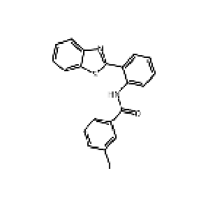 O=C(Nc1ccccc1-c1nc2ccccc2s1)c1cccc(I)c1